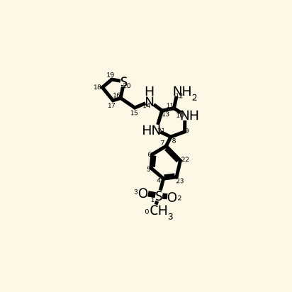 CS(=O)(=O)c1ccc(C2CNC(N)C(NCC3CCCS3)N2)cc1